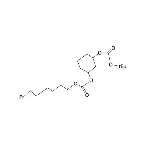 CC(C)CCCCCCOC(=O)OC1CCCC(OC(=O)OC(C)(C)C)C1